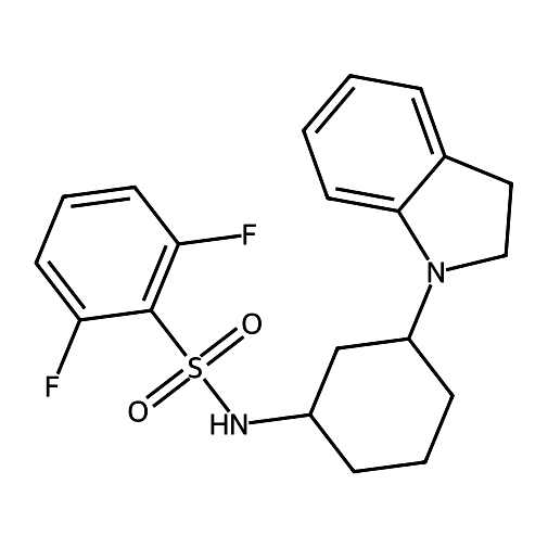 O=S(=O)(NC1CCCC(N2CCc3ccccc32)C1)c1c(F)cccc1F